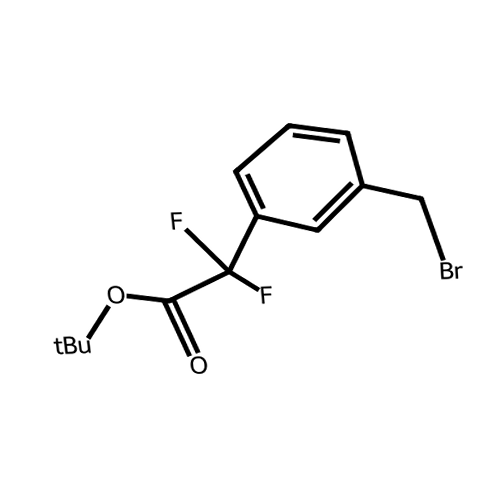 CC(C)(C)OC(=O)C(F)(F)c1cccc(CBr)c1